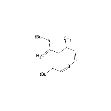 C=C(CC(C)/C=C\B=C/CC(C)(C)C)SC(C)(C)C